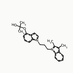 Cc1c(C)n(CCCn2ccc3c(OC(C)(C)O)cccc32)c2ccccc12